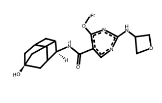 CC(C)Oc1nc(NC2COC2)ncc1C(=O)N[C@H]1C2CC3CC1C[C@@](O)(C3)C2